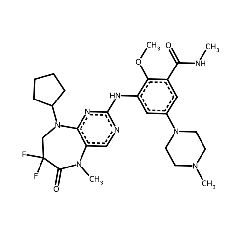 CNC(=O)c1cc(N2CCN(C)CC2)cc(Nc2ncc3c(n2)N(C2CCCC2)CC(F)(F)C(=O)N3C)c1OC